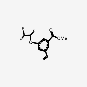 C=Cc1cc(OC(F)C(F)F)cc(C(=O)OC)c1